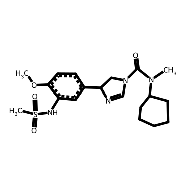 COc1ccc(C2CN(C(=O)N(C)C3CCCCC3)C=N2)cc1NS(C)(=O)=O